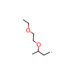 [CH2]CC(C)OCCOCC